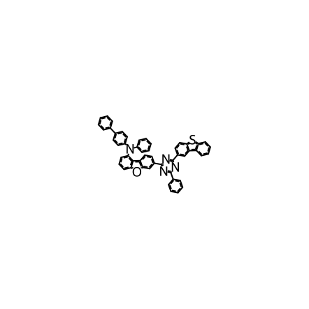 c1ccc(-c2ccc(N(c3ccccc3)c3cccc4oc5cc(-c6nc(-c7ccccc7)nc(-c7ccc8sc9ccccc9c8c7)n6)ccc5c34)cc2)cc1